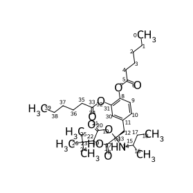 CCCCCC(=O)Oc1ccc(C[C@](NC(C)CC)(OC(=O)CC(C)(C)C)C(=O)O)cc1OC(=O)CCCCC